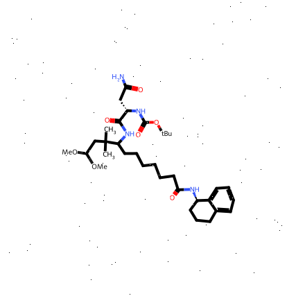 COC(CC(C)(C)C(CCCCCCC(=O)N[C@@H]1CCCc2ccccc21)NC(=O)[C@H](CC(N)=O)NC(=O)OC(C)(C)C)OC